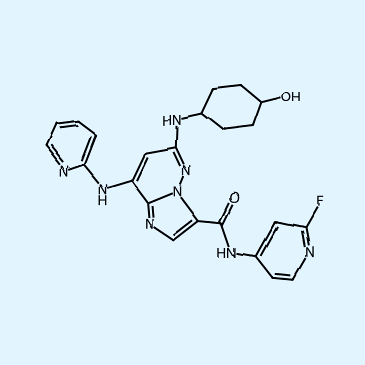 O=C(Nc1ccnc(F)c1)c1cnc2c(Nc3ccccn3)cc(NC3CCC(O)CC3)nn12